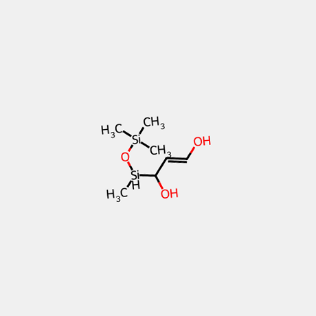 C[SiH](O[Si](C)(C)C)C(O)C=CO